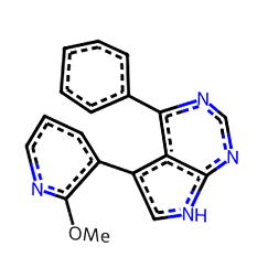 COc1ncccc1-c1c[nH]c2ncnc(-c3ccccc3)c12